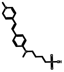 CN1C=CC(C=Cc2ccc(N(C)CCCCS(=O)(=O)O)cc2)=CC1